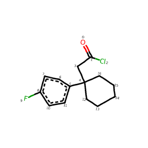 O=C(Cl)CC1(c2ccc(F)cc2)CCCCC1